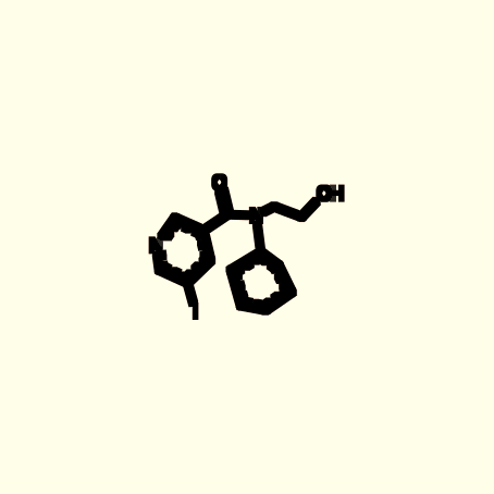 O=C(c1cncc(I)c1)N(CCO)c1ccccc1